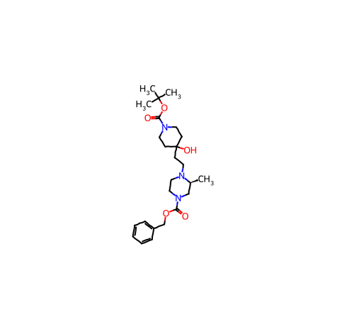 C[C@H]1CN(C(=O)OCc2ccccc2)CCN1CCC1(O)CCN(C(=O)OC(C)(C)C)CC1